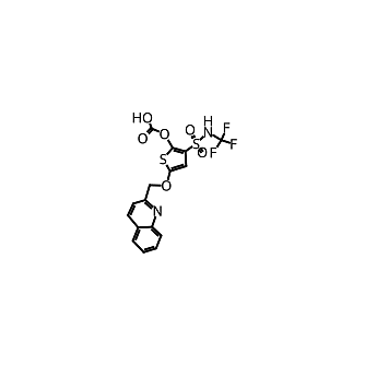 O=C(O)Oc1sc(OCc2ccc3ccccc3n2)cc1S(=O)(=O)NC(F)(F)F